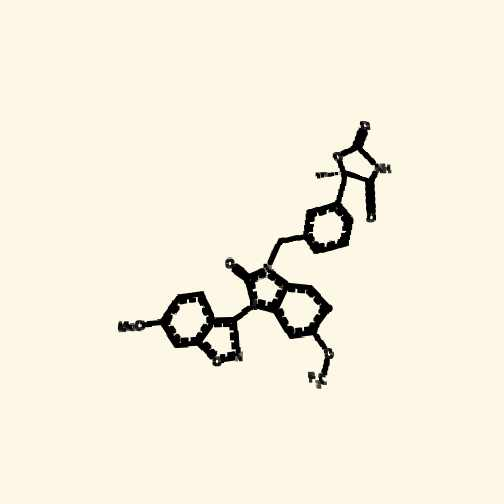 COc1ccc2c(-n3c(=O)n(Cc4cccc([C@@]5(C)OC(=O)NC5=O)c4)c4ccc(OC(F)(F)F)cc43)noc2c1